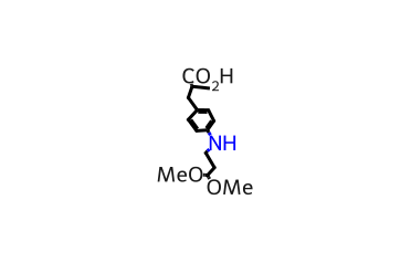 COC(CCNc1ccc(CC(C)C(=O)O)cc1)OC